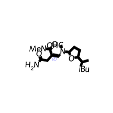 CCC(C)C(C)C1CCC(N(C=O)/C=C(/CC(N)=O)C(=O)NC)O1